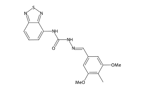 COc1cc(/C=N/NC(=O)Nc2cccc3nsnc23)cc(OC)c1C